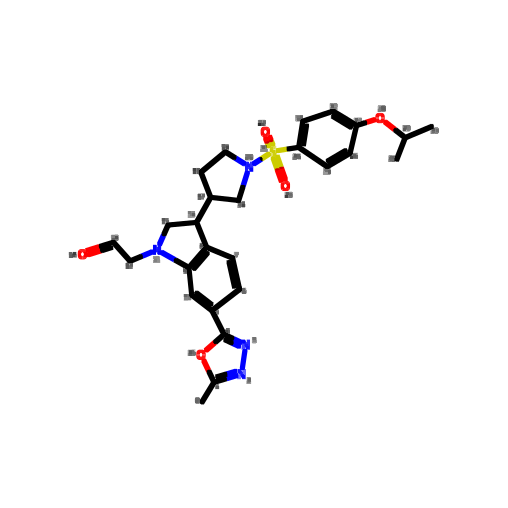 Cc1nnc(-c2ccc3c(c2)N(CC=O)CC3C2CCN(S(=O)(=O)c3ccc(OC(C)C)cc3)C2)o1